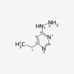 CCc1cc(NN)ncn1